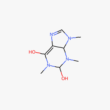 CN1C=NC2=C(O)N(C)C(O)N(C)C21